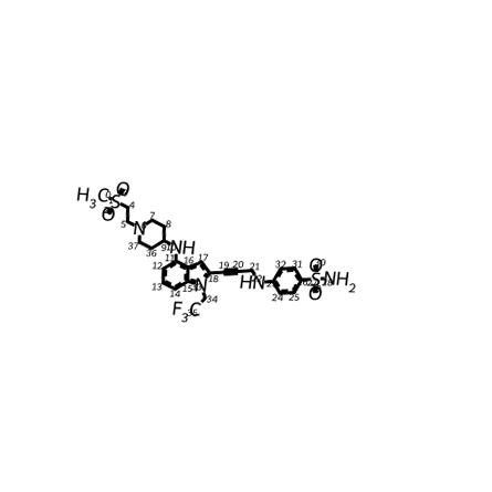 CS(=O)(=O)CCN1CCC(Nc2cccc3c2cc(C#CCNc2ccc(S(N)(=O)=O)cc2)n3CC(F)(F)F)CC1